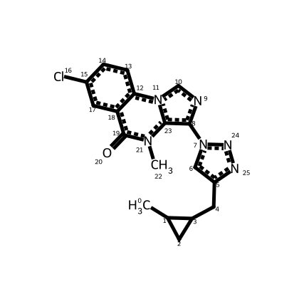 CC1CC1Cc1cn(-c2ncn3c4ccc(Cl)cc4c(=O)n(C)c23)nn1